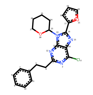 Clc1nc(CCc2ccccc2)nc2c1nc(-c1ccco1)n2C1CCCCO1